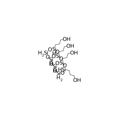 OCCC[SiH]1O[SiH2]O[SiH]2O[SiH]3O[SiH2]O[SiH](CCCO)O[Si](CCCO)(O3)O[Si](CCCO)(O1)O2